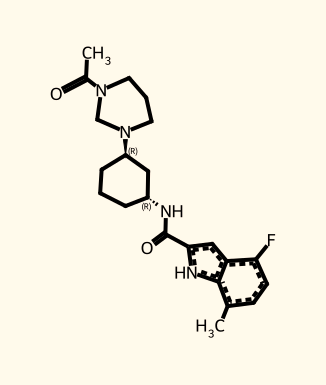 CC(=O)N1CCCN([C@@H]2CCC[C@@H](NC(=O)c3cc4c(F)ccc(C)c4[nH]3)C2)C1